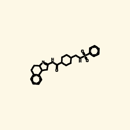 O=C(NC1=NC2CCc3ccccc3C2C1)C1CCC(CNS(=O)(=O)c2ccccc2)CC1